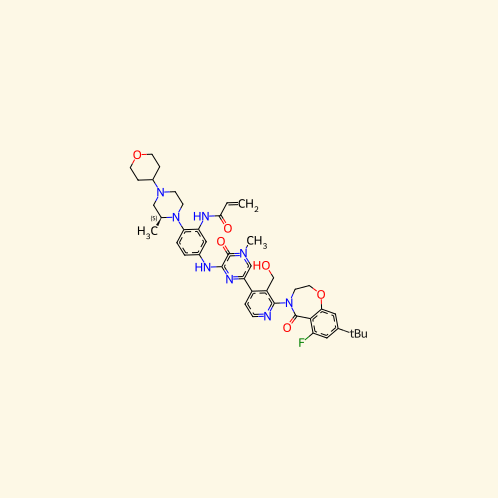 C=CC(=O)Nc1cc(Nc2nc(-c3ccnc(N4CCOc5cc(C(C)(C)C)cc(F)c5C4=O)c3CO)cn(C)c2=O)ccc1N1CCN(C2CCOCC2)C[C@@H]1C